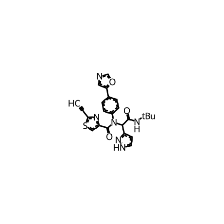 C#Cc1nc(C(=O)N(c2ccc(-c3cnco3)cc2)C(C(=O)NC(C)(C)C)c2cc[nH]n2)cs1